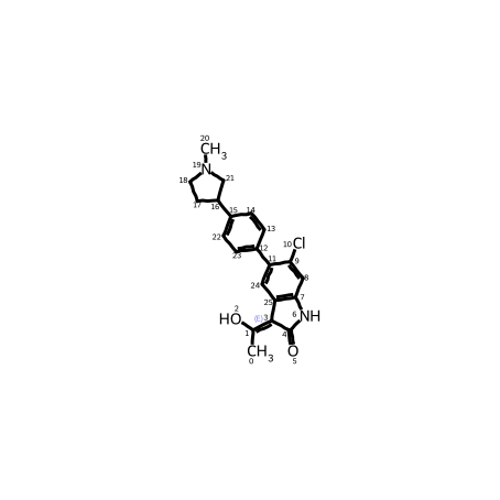 C/C(O)=C1\C(=O)Nc2cc(Cl)c(-c3ccc(C4CCN(C)C4)cc3)cc21